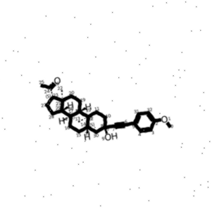 COc1ccc(C#C[C@@]2(O)CC[C@@]3(C)[C@@H](CC[C@@H]4[C@@H]3CC[C@]3(C)[C@@H](C(C)=O)CC[C@@H]43)C2)cc1